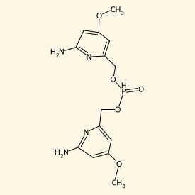 COc1cc(N)nc(CO[PH](=O)OCc2cc(OC)cc(N)n2)c1